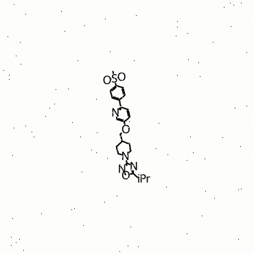 CC(C)c1nc(N2CCC(COc3ccc(-c4ccc(S(C)(=O)=O)cc4)nc3)CC2)no1